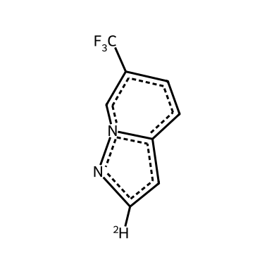 [2H]c1cc2ccc(C(F)(F)F)cn2n1